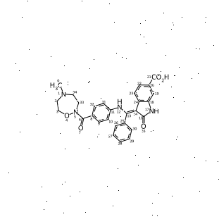 CN1CCON(C(=O)c2ccc(NC(=C3C(=O)Nc4cc(C(=O)O)ccc43)c3ccccc3)cc2)CC1